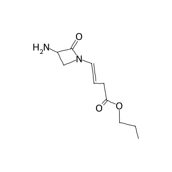 CCCOC(=O)CC=CN1CC(N)C1=O